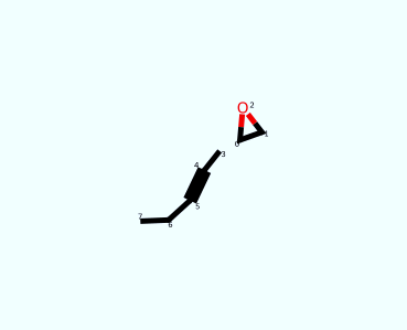 C1CO1.CC#CCC